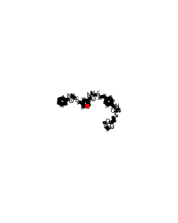 c1ccc(-c2nnc(SCc3cccc(-c4nnc(SCCc5ccc(-c6nnc(SCCC7OCCCO7)o6)cc5)o4)c3)o2)cc1